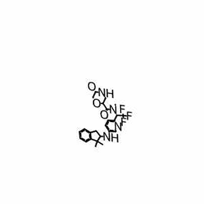 CN(C(=O)C1CNC(=O)CO1)[C@@H](c1ccc(NC2Cc3ccccc3C2(C)C)cn1)C(F)(F)F